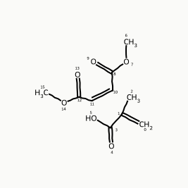 C=C(C)C(=O)O.COC(=O)/C=C\C(=O)OC